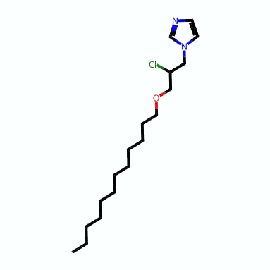 CCCCCCCCCCCCOCC(Cl)Cn1ccnc1